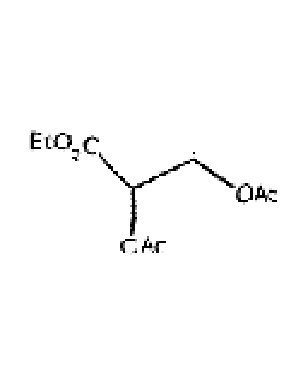 CCOC(=O)C([CH]OC(C)=O)OC(C)=O